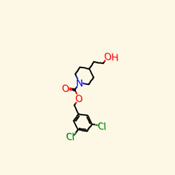 O=C(OCc1cc(Cl)cc(Cl)c1)N1CCC(CCO)CC1